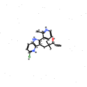 COC(=O)C(C)(C)Cc1c(-c2cccnc2C(C)C)[nH]c2ccc(Cl)nc12